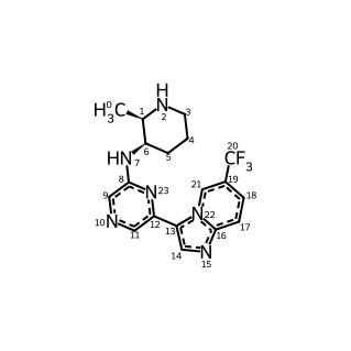 C[C@H]1NCCC[C@H]1Nc1cncc(-c2cnc3ccc(C(F)(F)F)cn23)n1